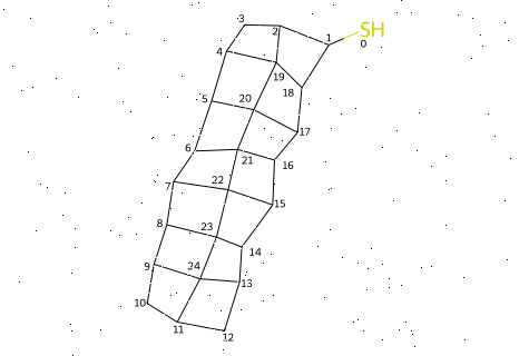 SC1C2CC3C4C5C6C7C8CC9CC%10C%11C%12C%13C%14C1C23C4%14C5%13C6%12C7%11C98%10